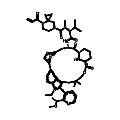 C=CC(=O)N1CCN(C(=O)N(C)[C@H](C(=O)N[C@H]2Cc3nc(cs3)-c3ccc4c(c3)c(c(-c3cccnc3[C@H](C)OC)n4CC)CC(C)(C)COC(=O)[C@@H]3CCCN(N3)C2=O)C(C)C)CC12CC2